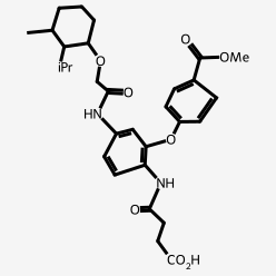 COC(=O)c1ccc(Oc2cc(NC(=O)COC3CCCC(C)C3C(C)C)ccc2NC(=O)CCC(=O)O)cc1